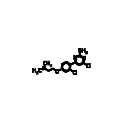 CN(C)CCOc1ccc(-c2cc(Cl)nc(N)n2)c(Cl)c1